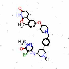 Cc1ccc(OC2CCN(Cc3ccc([C@H]4C[C@@H](Nc5cnn(C)c(=O)c5Br)CN(C)C4)cc3)CC2)cc1C1CCC(=O)NC1=O